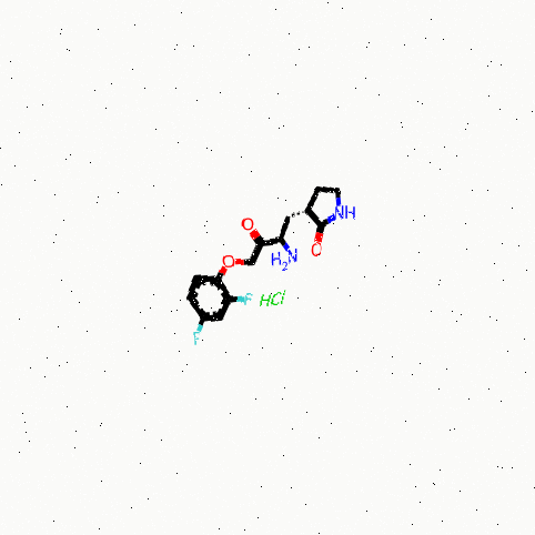 Cl.NC(C[C@@H]1CCNC1=O)C(=O)COc1ccc(F)cc1F